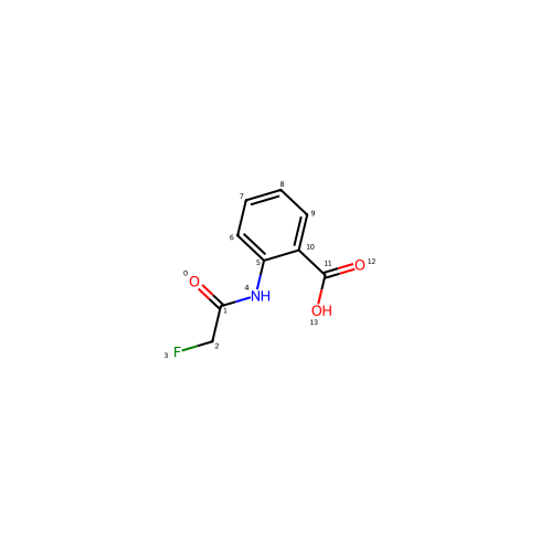 O=C(CF)Nc1ccccc1C(=O)O